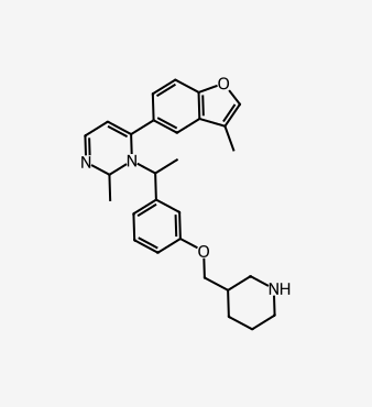 Cc1coc2ccc(C3=CC=NC(C)N3C(C)c3cccc(OCC4CCCNC4)c3)cc12